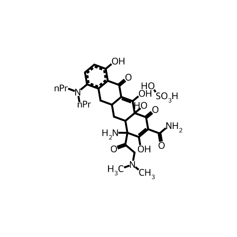 CCCN(CCC)c1ccc(O)c2c1CC1CC3C(N)(C(=O)CN(C)C)C(O)=C(C(N)=O)C(=O)C3(O)C(O)=C1C2=O.O=S(=O)(O)O